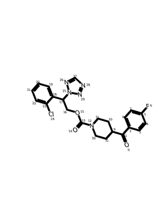 O=C(c1ccc(F)cc1)C1CCN(C(=O)OCC(c2ccccc2Cl)n2ncnn2)CC1